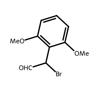 COc1cccc(OC)c1C(Br)C=O